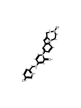 CCN1CCc2cc3cc(-n4ccc(OCc5ccc(Cl)cn5)cc4=O)ccc3n2CC1